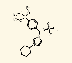 CCO[Si](OCC)(OCC)c1ccc(Cn2cc[n+](C3CCCCC3)c2)cc1.O=S(=O)([O-])C(F)(F)F